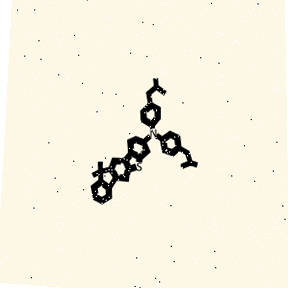 CC(C)Cc1ccc(N(c2ccc(CC(C)C)cc2)c2ccc3c(c2)sc2cc4c(cc23)C(C)(C)c2ccccc2-4)cc1